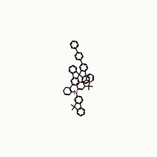 CC1(C)c2ccccc2-c2ccc(N(C3=CC4C(C=C3)C3C=CC=CC3C4(C)C)C3=C(c4ccc5c(c4)-c4ccccc4C54c5ccccc5-c5ccc(-c6ccc(-c7ccccc7)cc6)cc54)CCC=C3)cc21